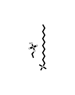 CCCCCCCCCCCC[N+](C)(C)C.CCOS(=O)(=O)O